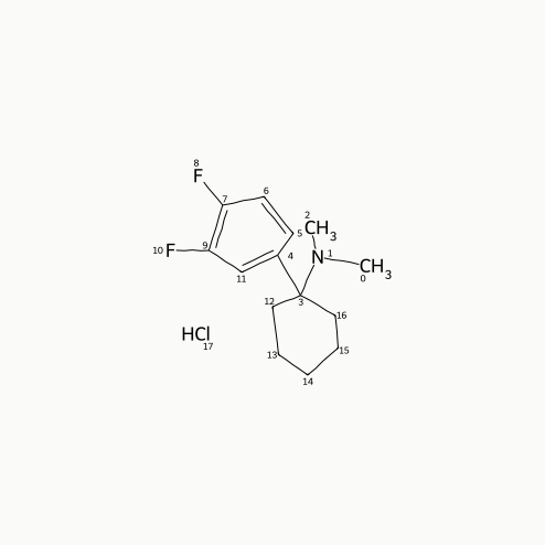 CN(C)C1(c2ccc(F)c(F)c2)CCCCC1.Cl